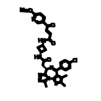 COc1ccc(C(=O)/C=C/C(=O)N[C@H]2C[C@@H](NC(=O)C[C@@H]3N=C(c4ccc(Cl)cc4)c4c(sc(C)c4C)-n4c(C)nnc43)C2)cn1